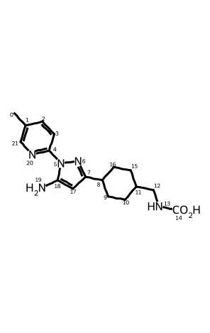 Cc1ccc(-n2nc(C3CCC(CNC(=O)O)CC3)cc2N)nc1